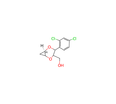 OCC1OC2C[C@H]2OC1c1ccc(Cl)cc1Cl